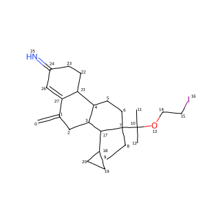 C=C1CC2C(CCC(CC)(C(C)(C)OCCI)C2C2CC2)C2CCC(=N)C=C12